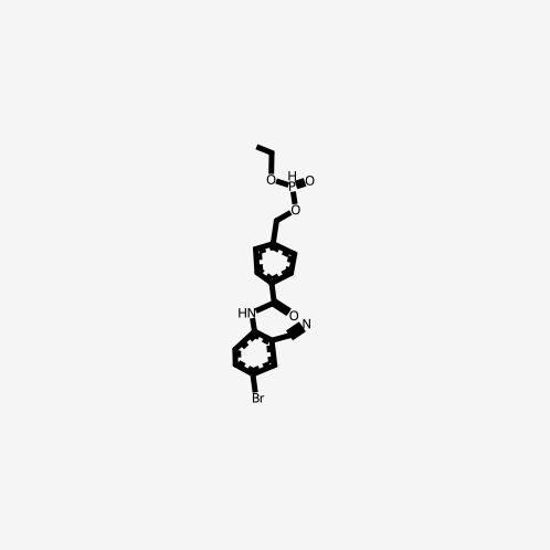 CCO[PH](=O)OCc1ccc(C(=O)Nc2ccc(Br)cc2C#N)cc1